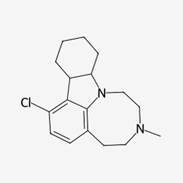 CN1CCc2ccc(Cl)c3c2N(CC1)C1CCCCC31